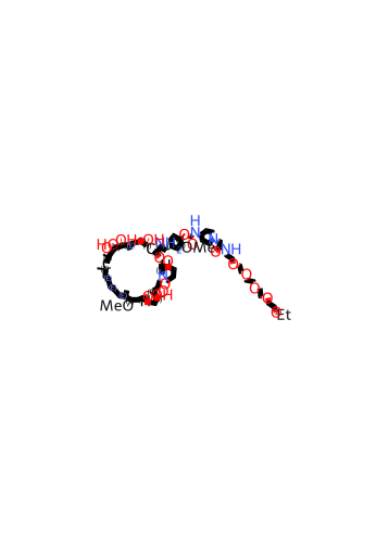 CCOCCOCCOCCOCCOCCNC(=O)CN1CCC(NC(=O)O[C@@H]2CC[C@@H](C[C@@H](N)[C@@H]3C[C@@H](O)[C@H](C)/C=C(\C)[C@@H](O)[C@@H](O)C(=O)[C@H](C)C[C@H](C)/C=C/C=C/C=C(\C)[C@@H](OC)C[C@@H]4CC[C@@H](C)[C@@](O)(O4)C(=O)C(=O)N4CCCC[C@H]4C(=O)O3)C[C@H]2OC)CC1